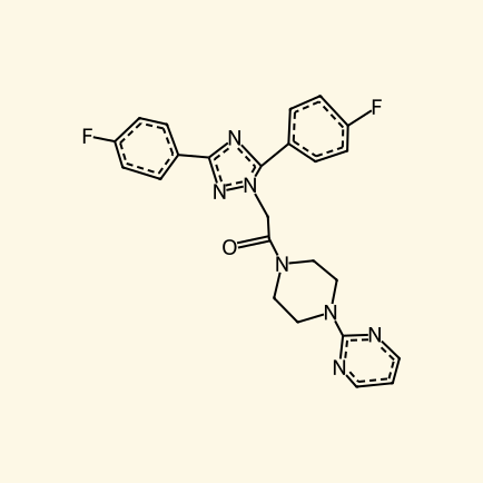 O=C(Cn1nc(-c2ccc(F)cc2)nc1-c1ccc(F)cc1)N1CCN(c2ncccn2)CC1